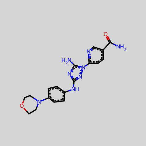 NC(=O)c1ccc(-n2nc(Nc3ccc(N4CCOCC4)cc3)nc2N)nc1